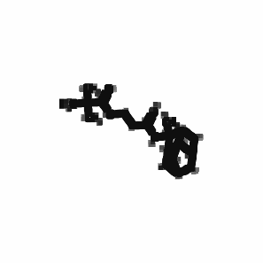 CC(C)(C)C(=O)OCCC(=O)OC1(C)C2CC3CC(C2)CC1C3